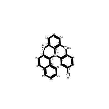 Clc1ccc2c(c1)B1c3c(cccc3Oc3ccc4ccccc4c31)O2